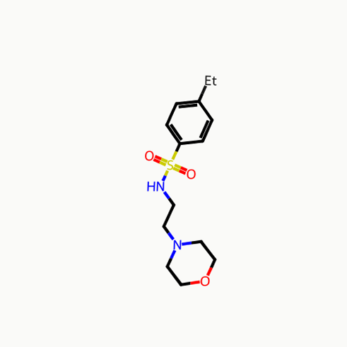 CCc1ccc(S(=O)(=O)NCCN2CCOCC2)cc1